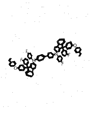 C=Cc1ccc(Oc2ccc(C3(c4cccc(F)c4)c4ccccc4-c4ccc(N(c5ccc(F)cc5)c5ccc(-c6ccc(N(c7ccc(F)cc7)c7ccc8c(c7)C(c7ccc(Oc9ccc(C=C)cc9)cc7)(c7cccc(F)c7)c7ccccc7-8)cc6)cc5)cc43)cc2)cc1